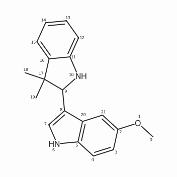 COc1ccc2[nH]cc(C3Nc4ccccc4C3(C)C)c2c1